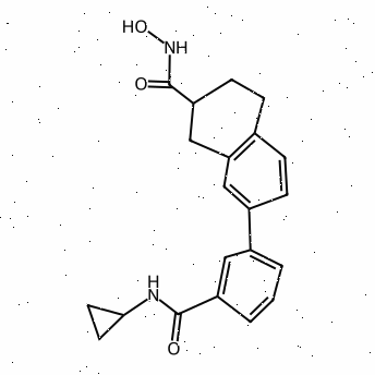 O=C(NC1CC1)c1cccc(-c2ccc3c(c2)CC(C(=O)NO)CC3)c1